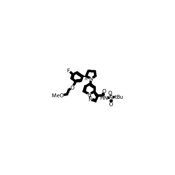 COCCOc1cc(F)cc([C@H]2CCCN2c2ccn3ncc(C(=O)NS(=O)(=O)C(C)(C)C)c3c2)c1